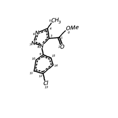 COC(=O)c1c(C)nnn1-c1ccc(Cl)cc1